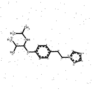 CC(C)NC(Oc1ccc(CCn2cncn2)cc1)C(C)O